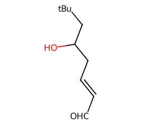 CC(C)(C)CC(O)CC=CC=O